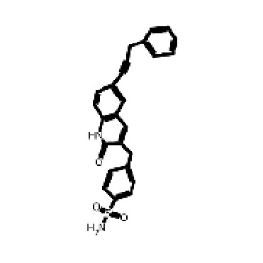 NS(=O)(=O)c1ccc(Cc2cc3cc(C#CCc4ccccc4)ccc3[nH]c2=O)cc1